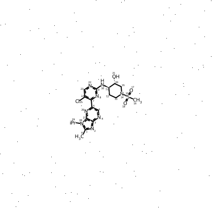 Cc1nc2ncc(-c3nc(N[C@@H]4CCN(S(C)(=O)=O)C[C@H]4O)ncc3Cl)nc2n1C(C)C